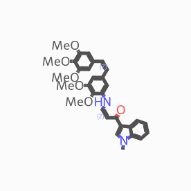 COc1cc(/C=C\c2cc(OC)c(OC)c(OC)c2)cc(N/C=C\C(=O)c2cn(C)c3ccccc23)c1OC